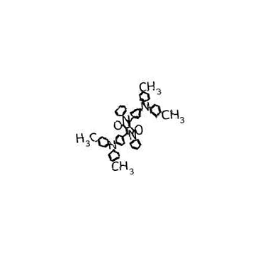 Cc1ccc(N(c2ccc(C)cc2)c2ccc(C3=C4C(=O)N(c5ccccc5)C(c5ccc(N(c6ccc(C)cc6)c6ccc(C)cc6)cc5)=C4C(=O)N3c3ccccc3)cc2)cc1